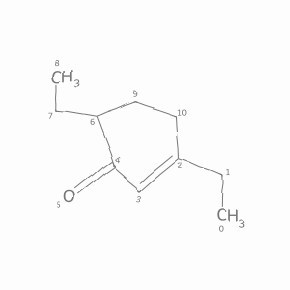 CCC1=CC(=O)C(CC)CC1